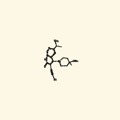 CCC#Cc1c(N2CCC(C)(OC)CC2)c2cc(C(C)O)ncc2[nH]c1=O